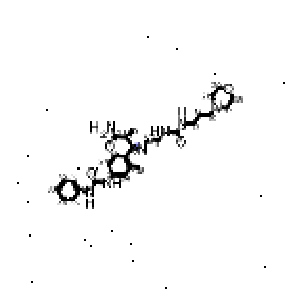 C=C(C(N)=O)/C(=N\SCNC(=O)NCCCN1CCOCC1)c1ccc(NC(=O)Nc2ccccc2)cc1C